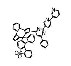 O=S1(=O)c2ccccc2-c2c1ccc1c2-c2ccccc2C12c1ccccc1-c1ccccc1-c1ccc(-c3cc(-c4ccccc4)nc(-c4ccc(-c5cccnc5)nc4)n3)cc12